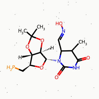 CC1C(=O)NC(=O)N([C@@H]2O[C@@H](CP)[C@@H]3OC(C)(C)O[C@H]32)C1/C=N/O